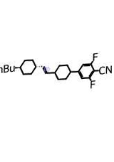 CCCC[C@H]1CC[C@H](/C=C/C2CCC(c3cc(F)c(C#N)c(F)c3)CC2)CC1